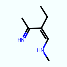 CC/C(=C/NC)C(C)=N